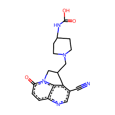 N#Cc1cnc2ccc(=O)n3c2c1C(CN1CCC(NC(=O)O)CC1)C3